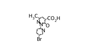 Cc1cc(C(=O)O)c(=O)n(-c2ccc(Br)cn2)n1